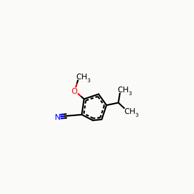 COc1cc(C(C)C)ccc1C#N